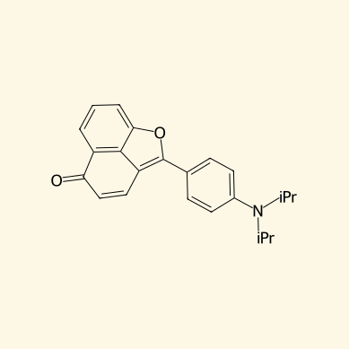 CC(C)N(c1ccc(-c2oc3cccc4c3c2C=CC4=O)cc1)C(C)C